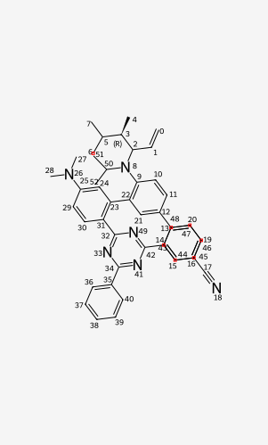 C=CC([C@H](C)C(C)C)N(c1ccc(-c2ccc(C#N)cc2)cc1-c1cc(N(C)C)ccc1-c1nc(-c2ccccc2)nc(-c2ccccc2)n1)C(C)C